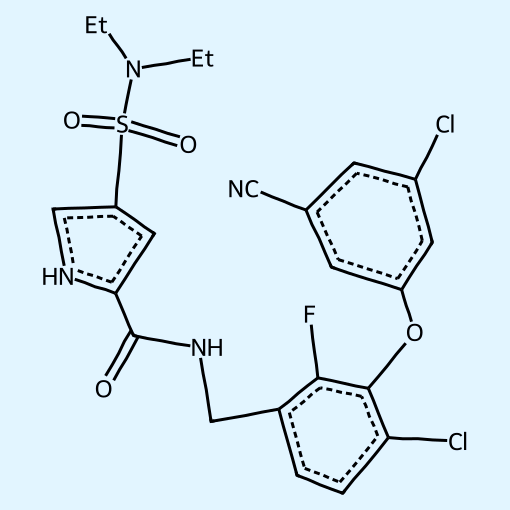 CCN(CC)S(=O)(=O)c1c[nH]c(C(=O)NCc2ccc(Cl)c(Oc3cc(Cl)cc(C#N)c3)c2F)c1